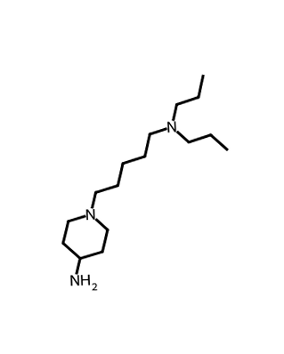 CCCN(CCC)CCCCCN1CCC(N)CC1